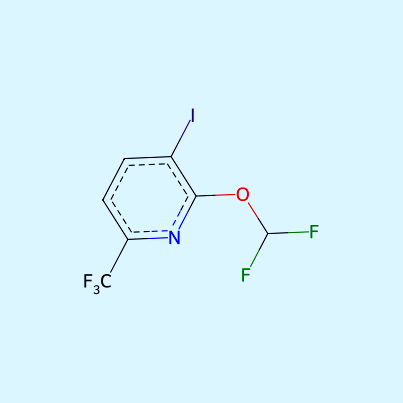 FC(F)Oc1nc(C(F)(F)F)ccc1I